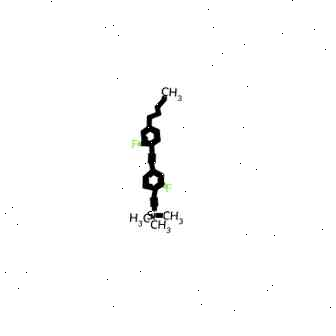 CCCCCc1ccc(C#Cc2ccc(C#C[Si](C)(C)C)c(F)c2)c(F)c1